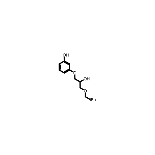 CCC(C)COCC(O)COc1cccc(O)c1